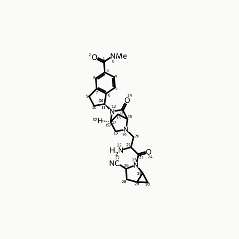 CNC(=O)c1ccc2c(c1)CC[C@@H]2N1C(=O)C2C[C@H]1CN2CC(N)C(=O)N1C(C#N)CC2CC21